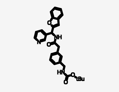 CC(C)(C)OC(=O)NCc1cccc(CC(=O)NC(c2cccnc2)c2cc3ccccc3o2)c1